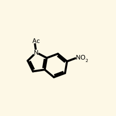 CC(=O)n1ccc2ccc([N+](=O)[O-])cc21